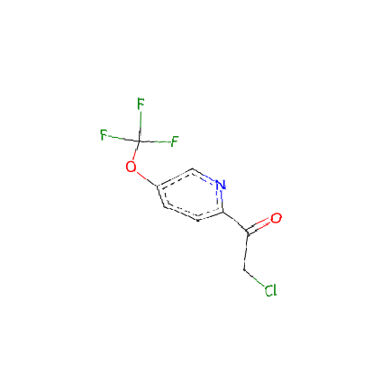 O=C(CCl)c1ccc(OC(F)(F)F)cn1